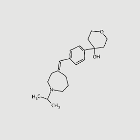 CC(C)N1CCCC(=Cc2ccc(C3(O)CCOCC3)cc2)CC1